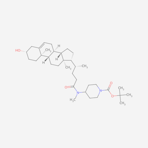 C[C@H](CCC(=O)N(C)C1CCN(C(=O)OC(C)(C)C)CC1)[C@H]1CC[C@H]2[C@@H]3CC=C4C[C@@H](O)CC[C@]4(C)[C@H]3CC[C@]12C